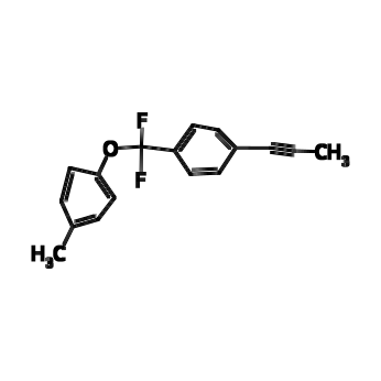 CC#Cc1ccc(C(F)(F)Oc2ccc(C)cc2)cc1